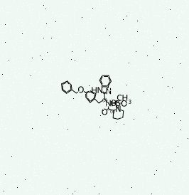 CS(=O)(=O)N1CCCC[C@H]1C(=O)N[C@@H](Cc1ccc(OCc2ccccc2)cc1)c1nc2ccccc2[nH]1